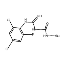 CC(C)(C)NC(=O)NC(=N)Nc1c(F)cc(Cl)cc1Cl